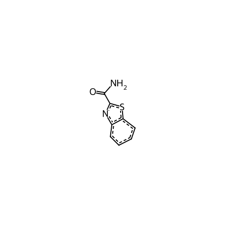 NC(=O)c1nc2ccccc2s1